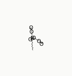 CCCCCCCCCC(=O)N(CCCCOCC1CO1)OCCCCOCC1CO1